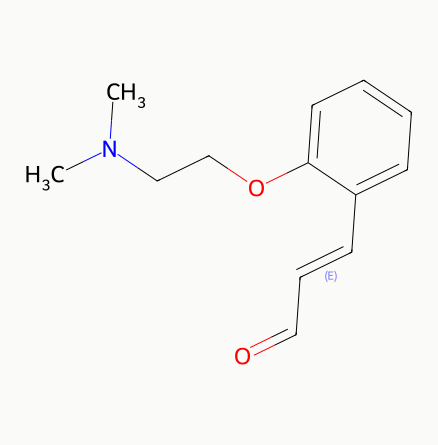 CN(C)CCOc1ccccc1/C=C/C=O